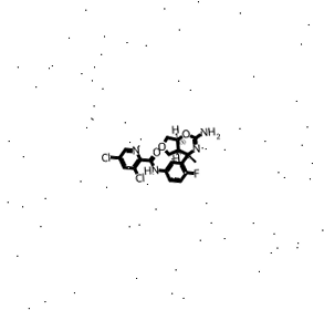 C[C@]1(c2cc(NC(=O)c3ncc(Cl)cc3Cl)ccc2F)N=C(N)O[C@@H]2COC[C@@H]21